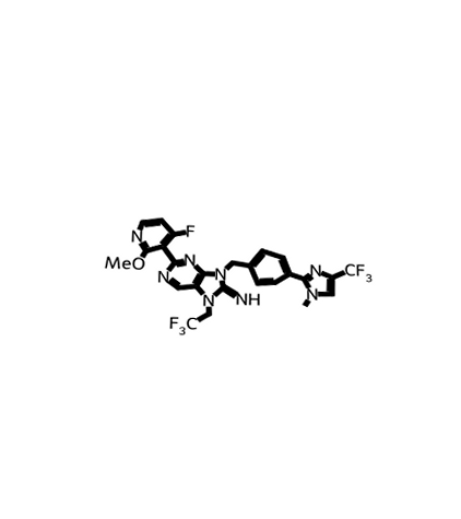 COc1nccc(F)c1-c1ncc2c(n1)n(Cc1ccc(-c3nc(C(F)(F)F)cn3C)cc1)c(=N)n2CC(F)(F)F